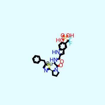 CC(C)(C)[C@H](NC(=O)c1cc2cc(C(F)(F)P(=O)(O)O)ccc2[nH]1)C(=O)N1CCC[C@H]1c1ncc(Cc2ccccc2)s1